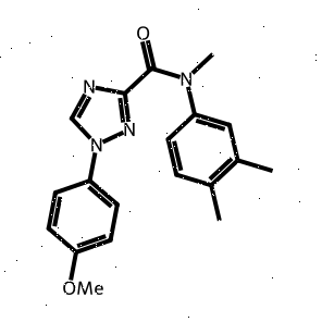 COc1ccc(-n2cnc(C(=O)N(C)c3ccc(C)c(C)c3)n2)cc1